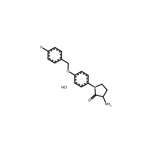 Cl.NC1CCN(c2ccc(OCc3ccc(F)cc3)cc2)C1=O